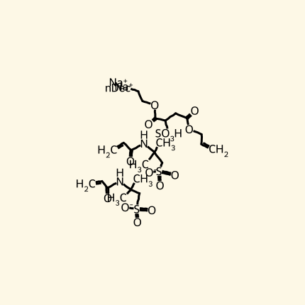 C=CC(=O)NC(C)(C)CS(=O)(=O)[O-].C=CC(=O)NC(C)(C)CS(=O)(=O)[O-].C=CCOC(=O)CC(C(=O)OCCCCCCCCCCCC)S(=O)(=O)O.[Na+].[Na+]